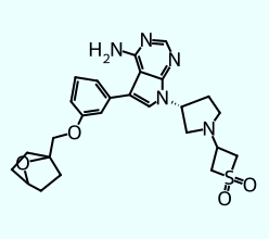 Nc1ncnc2c1c(-c1cccc(OCC34CCC(CC3)O4)c1)cn2[C@@H]1CCN(C2CS(=O)(=O)C2)C1